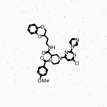 COc1ccc(C(=O)N2CCN(c3cc(Cl)nc(-n4ccnc4)n3)CC2C(=O)NCCC2COc3ccccc3O2)cc1